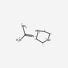 C1CNCCN1.NC(N)=S